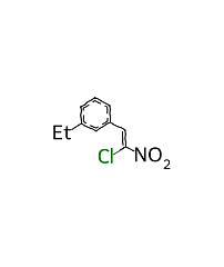 CCc1cccc(C=C(Cl)[N+](=O)[O-])c1